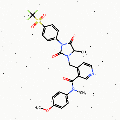 COc1ccc(N(C)C(=O)c2cnccc2CN2C(=O)N(c3ccc(S(=O)(=O)C(F)(F)F)cc3)C(=O)C2C)cc1